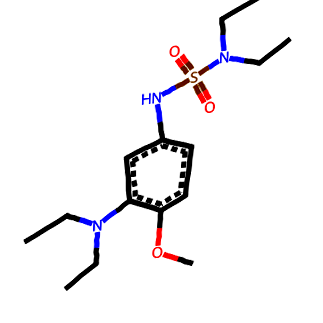 CCN(CC)c1cc(NS(=O)(=O)N(CC)CC)ccc1OC